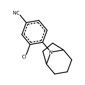 N#Cc1ccc(N2C3CCCC2CC3)c(Cl)c1